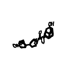 O=C(OC1C2CC3CC1CC(O)(C3)C2)N1CCC(c2cc[n+]([O-])cc2)C1